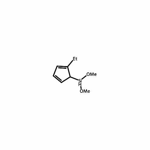 CCC1=CC=CC1[SiH](OC)OC